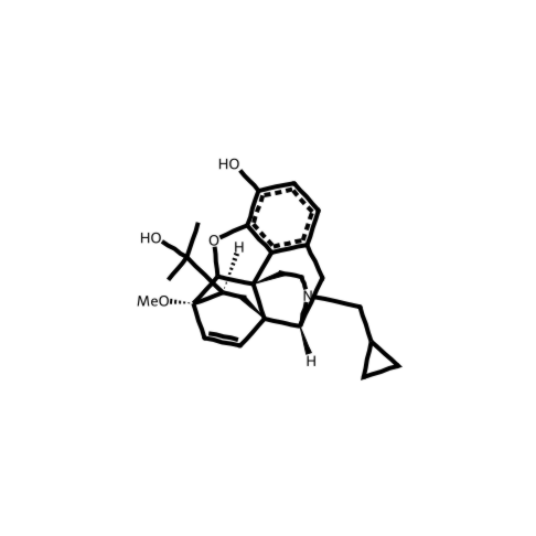 CO[C@@]12C=C[C@@]3(C[C@@H]1C(C)(C)O)[C@H]1Cc4ccc(O)c5c4[C@@]3(CCN1CC1CC1)C2O5